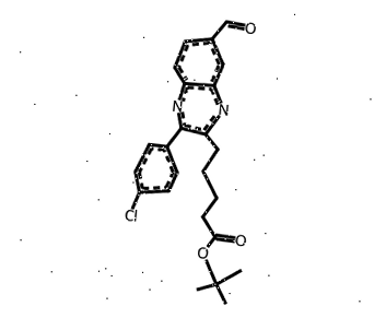 CC(C)(C)OC(=O)CCCCc1nc2cc(C=O)ccc2nc1-c1ccc(Cl)cc1